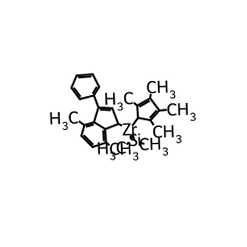 CC1=C(C)[CH]([Zr]([CH]2C=C(c3ccccc3)c3c(C)ccc(C)c32)=[Si](C)C)C(C)=C1C